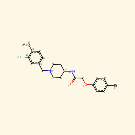 CCc1ccc(OCC(=O)NC2CCN(Cc3ccc(OC)c(F)c3)CC2)cc1